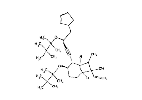 C=CC1(O)C(C)[C@@H]2[C@@H](C#C[C@H](CC3CCCC3)O[Si](C)(C)C(C)(C)C)[C@H](O[Si](C)(C)C(C)(C)C)CC[C@@H]21